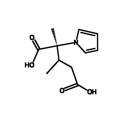 CC(CC(=O)O)[C@@](C)(C(=O)O)n1cccc1